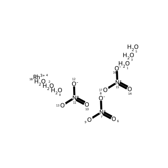 O.O.O.O.O.O.O=[N+]([O-])[O-].O=[N+]([O-])[O-].O=[N+]([O-])[O-].[Rh+3]